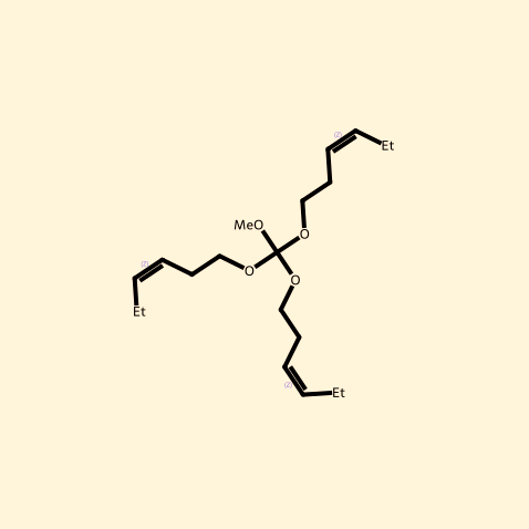 CC/C=C\CCOC(OC)(OCC/C=C\CC)OCC/C=C\CC